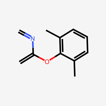 C=NC(=C)Oc1c(C)cccc1C